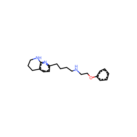 c1ccc(OCCNCCCCc2ccc3c(n2)NCCC3)cc1